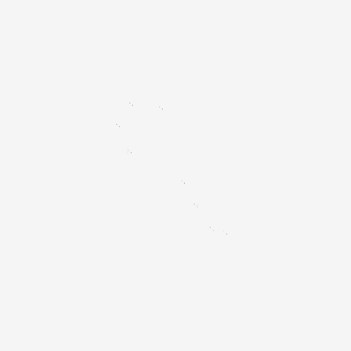 CN(c1ncnc2[nH]ccc12)[C@@H]1C[C@@]2(C)CN(C(=O)Nc3ccn(C)n3)C[C@@]2(C)C1